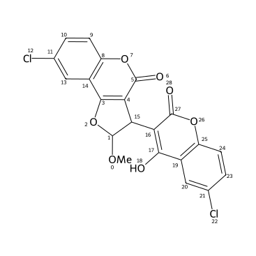 COC1Oc2c(c(=O)oc3ccc(Cl)cc23)C1c1c(O)c2cc(Cl)ccc2oc1=O